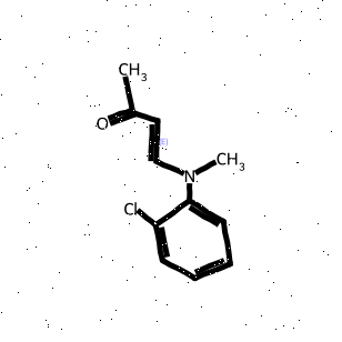 CC(=O)/C=C/N(C)c1ccccc1Cl